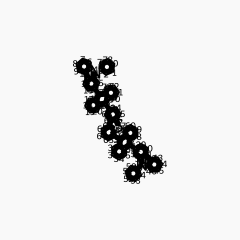 c1ccc(-n2c3ccccc3c3ccc(-c4c5ccccc5c(-c5ccc6sc7c(-c8c9ccccc9c(-c9ccc%10c%11ccccc%11n(-c%11ccccc%11)c%10c9)c9ccccc89)cccc7c6c5)c5ccccc45)cc32)cc1